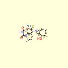 Cc1c(N2CC3=CCCC(F)(F)C(O)C3C2)c(F)c(N)c2c(=O)[nH]c(=O)n(C3CC3)c12